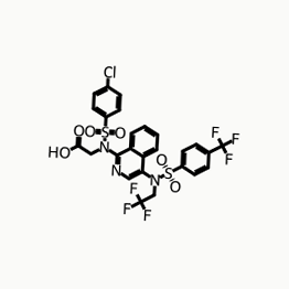 O=C(O)CN(c1ncc(N(CC(F)(F)F)S(=O)(=O)c2ccc(C(F)(F)F)cc2)c2ccccc12)S(=O)(=O)c1ccc(Cl)cc1